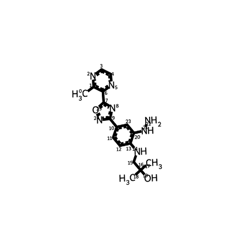 Cc1nccnc1-c1nc(-c2ccc(NCC(C)(C)O)c(NN)c2)no1